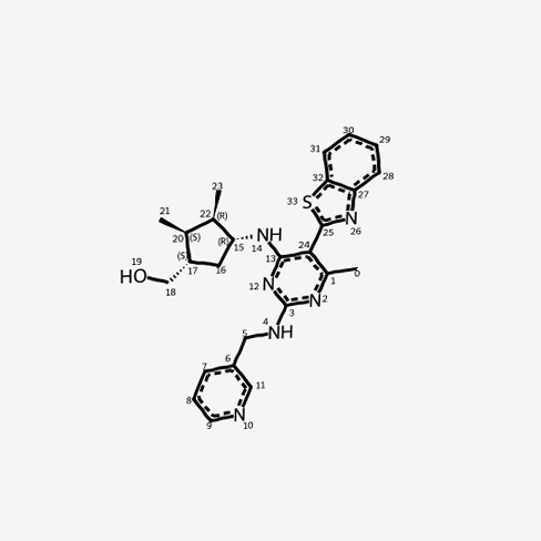 Cc1nc(NCc2cccnc2)nc(N[C@@H]2C[C@H](CO)[C@@H](C)[C@H]2C)c1-c1nc2ccccc2s1